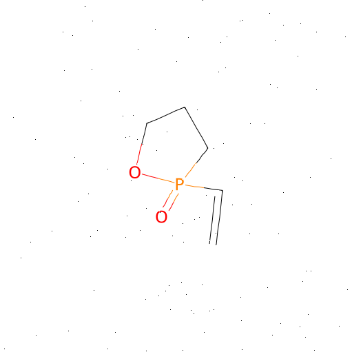 C=CP1(=O)CCCO1